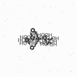 C[C@H](O)C(CO)O[C@H](O[C@@H]1C(CO)O[C@@H](OCC(CCCCCC2CCCCC2)(CCCCCC2CCCCC2)CO[C@@H]2OC(CO)[C@@H](O[C@@H]3OC(CO)[C@@H](O)[C@H](O)C3O)[C@H](O)C2O)[C@@H](O)C1O)[C@@H](O)CO